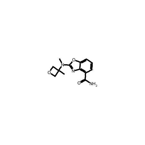 CN(c1nc2c(C(N)=O)[c]ccc2o1)C1(C)COC1